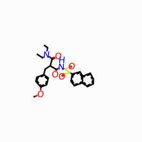 CCN(CC)C(=O)C(Cc1ccc(OC)cc1)C(=O)NS(=O)(=O)c1ccc2ccccc2c1